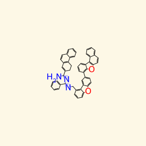 N/C(=N\C(=N/Cc1cccc2oc3ccc(-c4cccc5c4oc4ccc6ccccc6c45)cc3c12)c1ccccc1)C1=Cc2ccc3ccccc3c2CC1